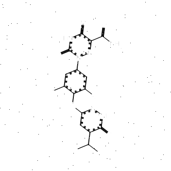 CC(C)c1cc(Oc2c(Cl)cc(-n3nc(C(N)=O)c(=O)[nH]c3=O)cc2Cl)n[nH]c1=O